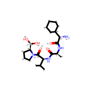 CC(C)[C@H](NC(=O)[C@H](C)NC(=O)[C@@H](N)C1CCCCC1)C(=O)N1CCC[C@H]1B(O)O